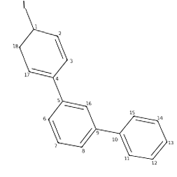 IC1C=CC(c2cccc(-c3ccccc3)c2)=CC1